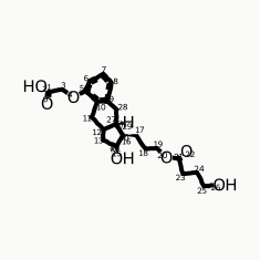 O=C(O)COc1cccc2c1CC1C[C@@H](O)[C@H](CCCOC(=O)CCCO)[C@H]1C2